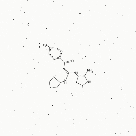 CC1CC(N/C(=N\C(=O)c2ccc(C(F)(F)F)cc2)NC2CCCC2)N(N)N1